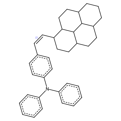 C(=C/C1CCC2CCC3CCCC4CCC1C2C34)/c1ccc(N(c2ccccc2)c2ccccc2)cc1